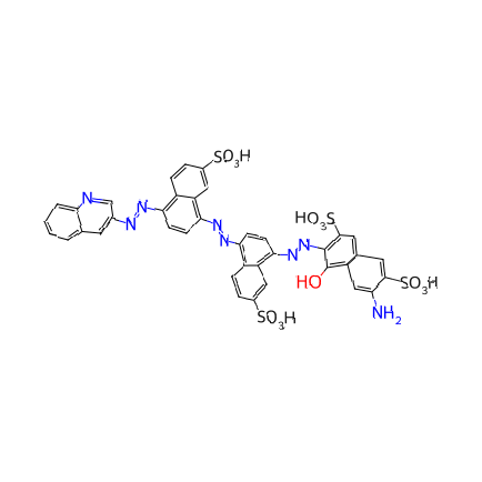 Nc1cc2c(O)c(/N=N/c3ccc(/N=N/c4ccc(/N=N/c5cnc6ccccc6c5)c5ccc(S(=O)(=O)O)cc45)c4ccc(S(=O)(=O)O)cc34)c(S(=O)(=O)O)cc2cc1S(=O)(=O)O